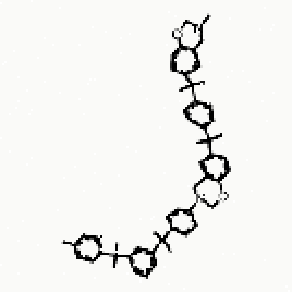 Cc1ccc(C(C)(C)c2cccc(C(C)(C)c3ccc(N4COc5ccc(C(C)(C)c6ccc(C(C)(C)c7ccc8c(c7)CN(C)CO8)cc6)cc5C4)cc3)c2)cc1